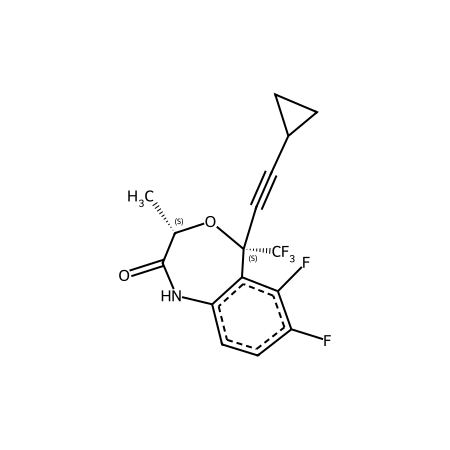 C[C@@H]1O[C@](C#CC2CC2)(C(F)(F)F)c2c(ccc(F)c2F)NC1=O